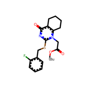 CC(C)(C)OC(=O)Cn1c(SCc2ccccc2F)nc(=O)c2c1CCCC2